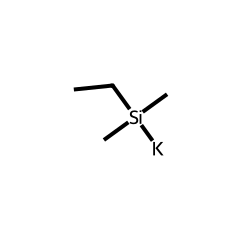 CC[Si](C)(C)[K]